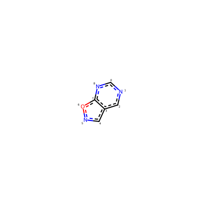 c1ncc2cnoc2n1